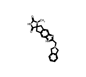 CN1C(=O)NC(=O)C12Cc1cc3nc(CN4Cc5ccccc5C4)[nH]c3cc1C2